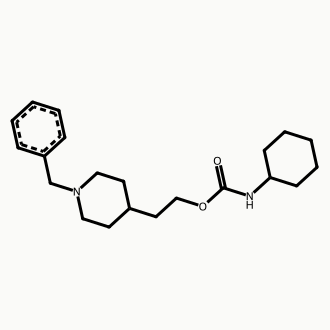 O=C(NC1CCCCC1)OCCC1CCN(Cc2ccccc2)CC1